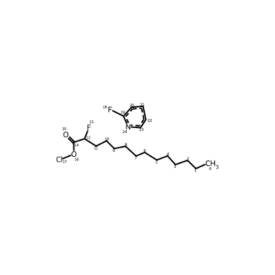 CCCCCCCCCCCCC(F)C(=O)OCl.Fc1ccccn1